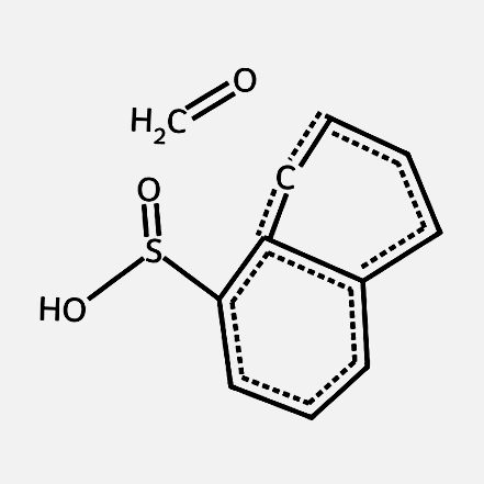 C=O.O=S(O)c1cccc2ccccc12